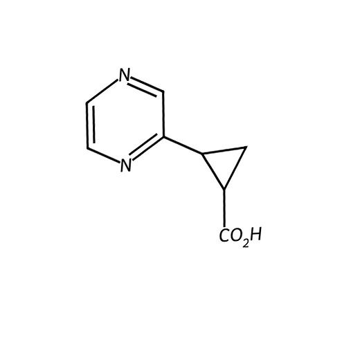 O=C(O)C1CC1c1cnccn1